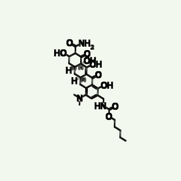 CCCCCOC(=O)NCc1cc(N(C)C)c2c(c1O)C(=O)C1=C(O)[C@]3(O)C(=O)C(C(N)=O)C(O)C[C@@H]3C[C@@H]1C2